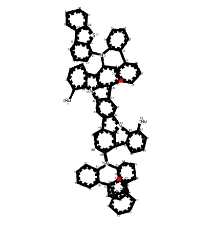 CC(C)(C)c1cccc2c3c(N(c4ccccc4-c4ccccc4)c4cccc5c4sc4ccccc45)ccc4c5cc6c(cc5n(c12)c43)c1ccc(N(c2ccccc2-c2ccccc2)c2cccc3c2sc2ccccc23)c2c3cccc(C(C)(C)C)c3n6c12